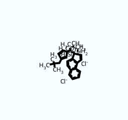 CC(C)(C)CC1=C[CH]([Zr]([CH3])([CH3])([CH3])([CH3])(=[SiH2])(=[SiH2])[CH]2C=Cc3c2ccc2ccccc32)C=C1.[Cl-].[Cl-]